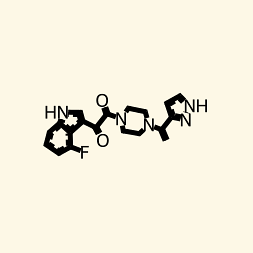 C=C(c1cc[nH]n1)N1CCN(C(=O)C(=O)c2c[nH]c3cccc(F)c23)CC1